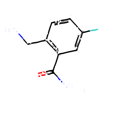 Cl.NCc1ccc(F)cc1C(N)=O